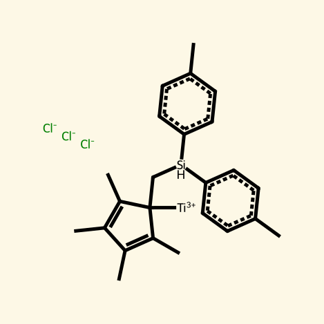 CC1=C(C)[C]([Ti+3])(C[SiH](c2ccc(C)cc2)c2ccc(C)cc2)C(C)=C1C.[Cl-].[Cl-].[Cl-]